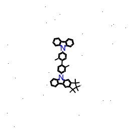 Cc1cc(-n2c3ccccc3c3ccccc32)ccc1-c1ccc(-n2c3ccccc3c3cc4c(cc32)C(C)(C)C(C)(C)C4(C)C)cc1C